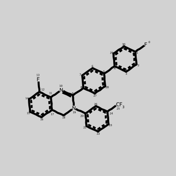 Fc1ccc(-c2ccc(C3=Nc4c(F)cccc4[C]N3c3cccc(C(F)(F)F)c3)cc2)cc1